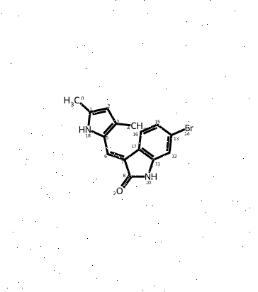 Cc1cc(C)c(C=C2C(=O)Nc3cc(Br)ccc32)[nH]1